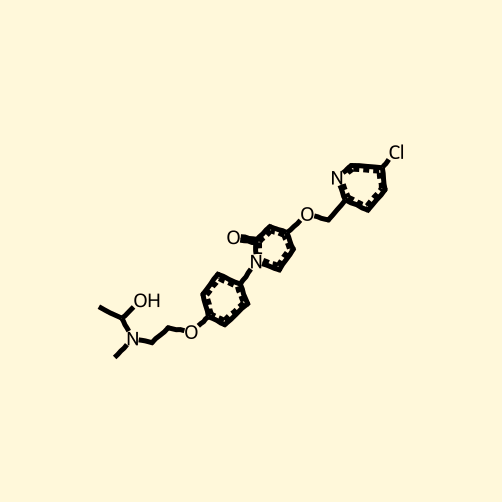 CC(O)N(C)CCOc1ccc(-n2ccc(OCc3ccc(Cl)cn3)cc2=O)cc1